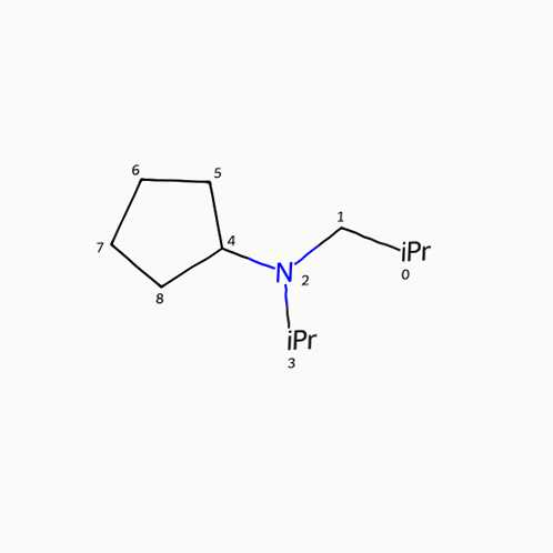 CC(C)CN(C(C)C)C1CCCC1